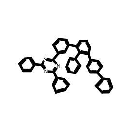 c1ccc(-c2ccc(-c3cccc(-c4cccc(-c5nc(-c6ccccc6)nc(-c6ccccc6)n5)c4)c3-c3ccccc3)cc2)cc1